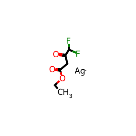 CCOC(=O)CC(=O)C(F)F.[Ag]